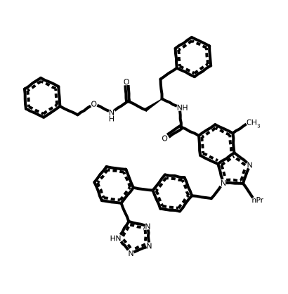 CCCc1nc2c(C)cc(C(=O)N[C@@H](CC(=O)NOCc3ccccc3)Cc3ccccc3)cc2n1Cc1ccc(-c2ccccc2-c2nnn[nH]2)cc1